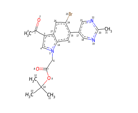 CC(=O)c1cn(CC(=O)OC(C)(C)C)c2cc(-c3cnc(C)nc3)c(Br)cc12